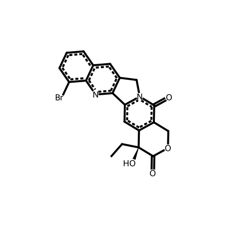 CC[C@@]1(O)C(=O)OCc2c1cc1n(c2=O)Cc2cc3cccc(Br)c3nc2-1